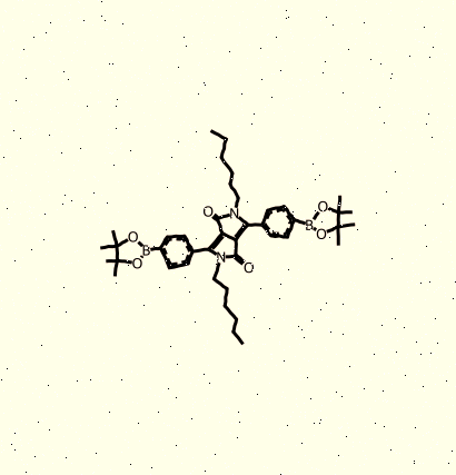 CCCCCCN1C(=O)C2=C(c3ccc(B4OC(C)(C)C(C)(C)O4)cc3)N(CCCCCC)C(=O)C2=C1c1ccc(B2OC(C)(C)C(C)(C)O2)cc1